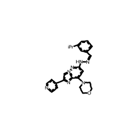 CC(C)c1cccc(/C=N\Nc2cc(N3CCOCC3)c3nc(-c4ccncc4)cn3n2)c1